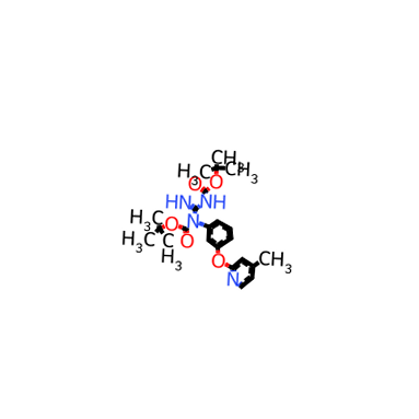 Cc1ccnc(Oc2cccc(N(C(=N)NC(=O)OC(C)(C)C)C(=O)OC(C)(C)C)c2)c1